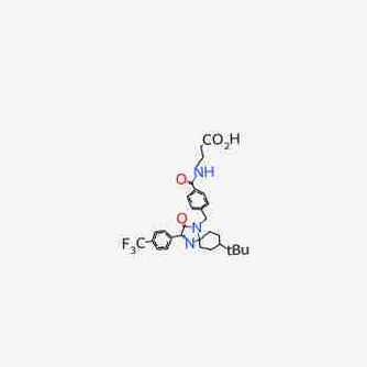 CC(C)(C)C1CCC2(CC1)N=C(c1ccc(C(F)(F)F)cc1)C(=O)N2Cc1ccc(C(=O)NCCCC(=O)O)cc1